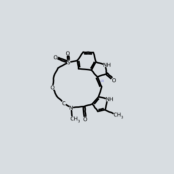 Cc1cc2c([nH]1)/C=C1\C(=O)Nc3ccc(cc31)S(=O)(=O)CCOCCN(C)C2=O